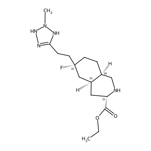 CCOC(=O)[C@@H]1C[C@H]2C[C@@](F)(CCC3=NNN(C)N3)CC[C@H]2CN1